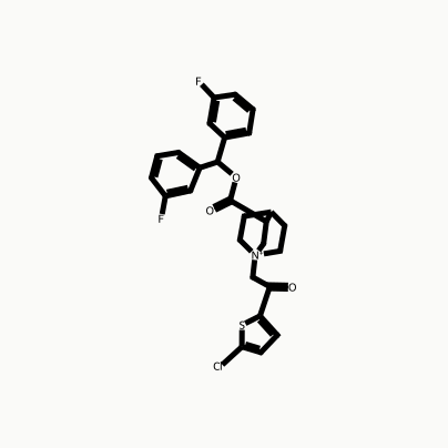 O=C(C[N+]12CCC(CC1)C(C(=O)OC(c1cccc(F)c1)c1cccc(F)c1)C2)c1ccc(Cl)s1